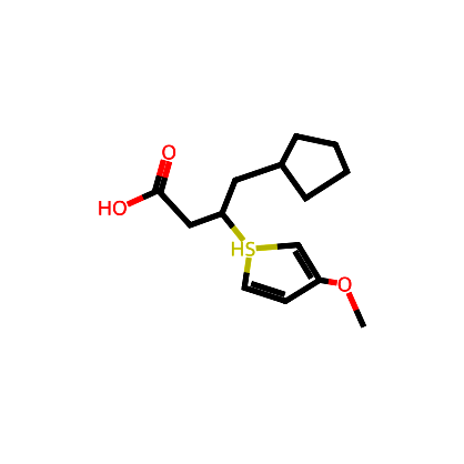 COC1=C[SH](C(CC(=O)O)CC2CCCC2)C=C1